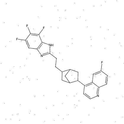 Fc1ccc2nccc(C3CC4CC3CC4CCc3nc4cc(F)c(F)c(F)c4[nH]3)c2c1